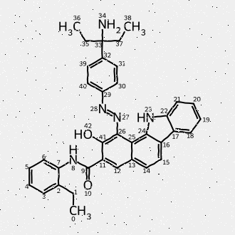 CCc1ccccc1NC(=O)c1cc2ccc3c4ccccc4[nH]c3c2c(N=Nc2ccc(C(N)(CC)CC)cc2)c1O